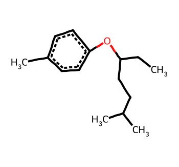 CCC(CCC(C)C)Oc1ccc(C)cc1